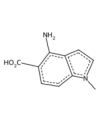 Cn1ccc2c(N)c(C(=O)O)ccc21